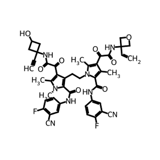 C#CC1(NC(=O)C(=O)c2c(CCn3c(C)c(C(=O)C(=O)NC4(C=C)COC4)c(C)c3C(=O)Nc3ccc(F)c(C#N)c3)c(C(=O)Nc3ccc(F)c(C#N)c3)n(C)c2C)CC(O)C1